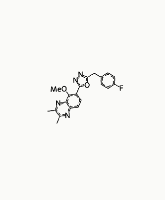 COc1c(-c2nnc(Cc3ccc(F)cc3)o2)ccc2nc(C)c(C)nc12